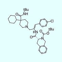 CC(C)(C)NC(=O)C1(C2CCCCC2)CCN(C/C(=C/c2ccc(Cl)cc2)NC(=O)[C@H]2Cc3ccccc3CN2C(=O)OC(C)(C)C)CC1